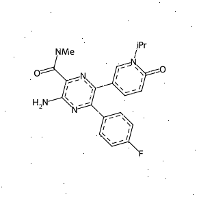 CNC(=O)c1nc(-c2ccc(=O)n(C(C)C)c2)c(-c2ccc(F)cc2)nc1N